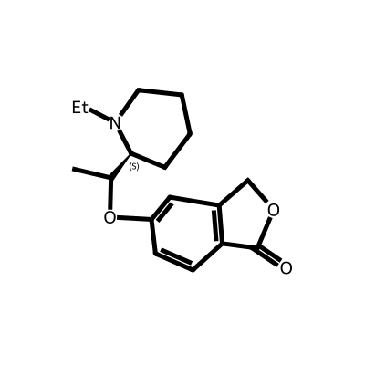 CCN1CCCC[C@H]1C(C)Oc1ccc2c(c1)COC2=O